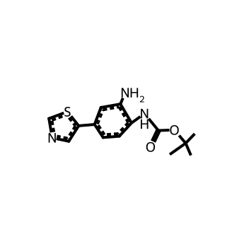 CC(C)(C)OC(=O)Nc1ccc(-c2cncs2)cc1N